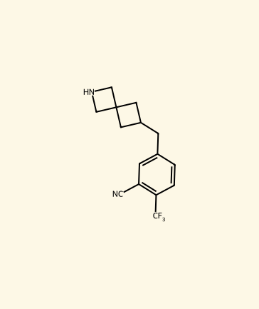 N#Cc1cc(CC2CC3(CNC3)C2)ccc1C(F)(F)F